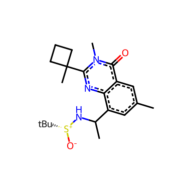 Cc1cc(C(C)N[S@+]([O-])C(C)(C)C)c2nc(C3(C)CCC3)n(C)c(=O)c2c1